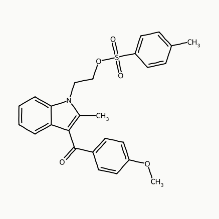 COc1ccc(C(=O)c2c(C)n(CCOS(=O)(=O)c3ccc(C)cc3)c3ccccc23)cc1